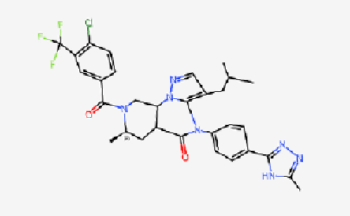 Cc1nnc(-c2ccc(N3C(=O)C4C[C@@H](C)N(C(=O)c5ccc(Cl)c(C(F)(F)F)c5)CC4n4ncc(CC(C)C)c43)cc2)[nH]1